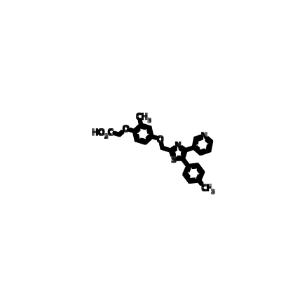 Cc1cc(OCc2nc(-c3cccnc3)c(-c3ccc(C(F)(F)F)cc3)s2)ccc1OCC(=O)O